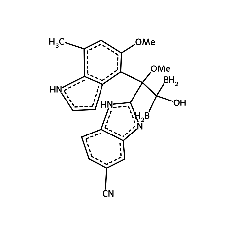 BC(B)(O)C(OC)(c1nc2cc(C#N)ccc2[nH]1)c1c(OC)cc(C)c2[nH]ccc12